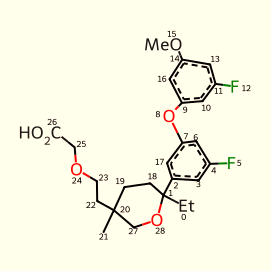 CCC1(c2cc(F)cc(Oc3cc(F)cc(OC)c3)c2)CCC(C)(CCOCC(=O)O)CO1